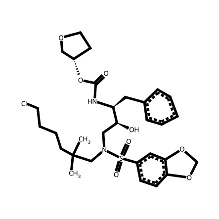 CC(C)(CCCCCl)CN(C[C@H](O)[C@H](Cc1ccccc1)NC(=O)O[C@H]1CCOC1)S(=O)(=O)c1ccc2c(c1)OCO2